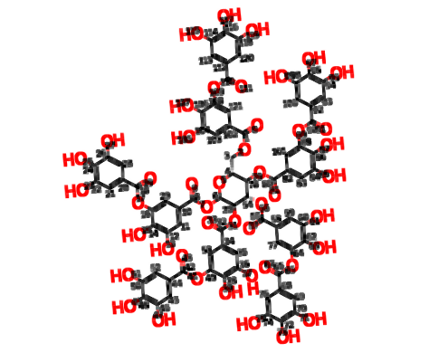 O=C(OC[C@H]1OC(OC(=O)c2cc(O)c(O)c(OC(=O)c3cc(O)c(O)c(O)c3)c2)[C@H](OC(=O)c2cc(O)c(O)c(OC(=O)c3cc(O)c(O)c(O)c3)c2)[C@@H](OC(=O)c2cc(O)c(O)c(OC(=O)c3cc(O)c(O)c(O)c3)c2)C1OC(=O)c1cc(O)c(O)c(OC(=O)c2cc(O)c(O)c(O)c2)c1)c1cc(O)c(O)c(OC(=O)c2cc(O)c(O)c(O)c2)c1